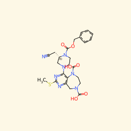 CSc1nc2c(c(N3CCN(C(=O)OCc4ccccc4)[C@@H](CC#N)C3)n1)N(C(=O)O)CCN(C(=O)O)C2